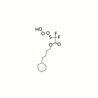 O=C(OCCCCC1CCCCC1)C(F)(F)SOOO